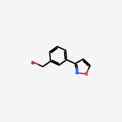 BrCc1cccc(-c2ccon2)c1